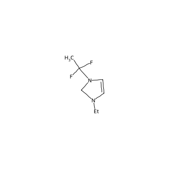 CCN1C=CN(C(C)(F)F)C1